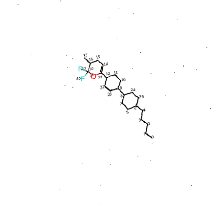 CCCCCC1CCC(C2CCC(C3=CCC(C)C(F)(F)O3)CC2)CC1